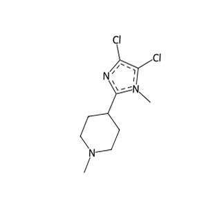 CN1CCC(c2nc(Cl)c(Cl)n2C)CC1